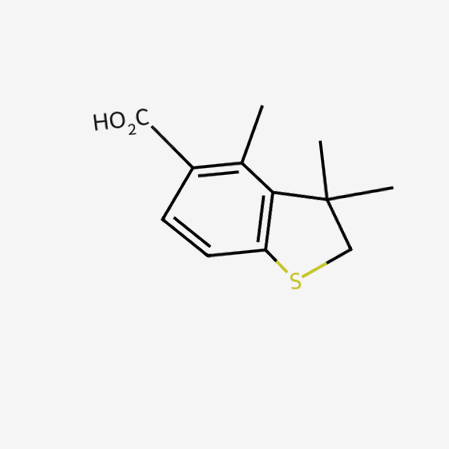 Cc1c(C(=O)O)ccc2c1C(C)(C)CS2